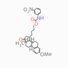 COc1ccc2c(c1)CC[C@H]1[C@@H]3[C@H](CCCCOC(=O)Nc4cccc([N+](=O)[O-])c4)CC(=O)[C@@]3(C)CC[C@H]21